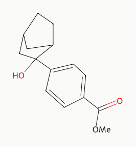 COC(=O)c1ccc(C2(O)CC3CCC2C3)cc1